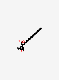 CCCCCCCCCCCCCCCCCCC(CC(=O)O)c1cc(C)c(O)c(CC)c1